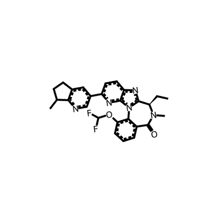 CC[C@@H]1c2nc3ccc(-c4cnc5c(c4)CCC5C)nc3n2-c2c(OC(F)F)cccc2C(=O)N1C